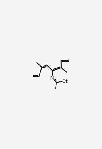 C=C\C(C)=C/C(/N=C(/C)CC)=C(/C)C=C